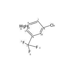 FC(F)(F)c1cccc(Cl)c1.[MgH2]